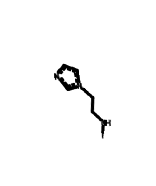 INCCn1ccnc1